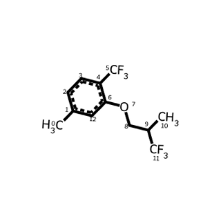 Cc1ccc(C(F)(F)F)c(OCC(C)C(F)(F)F)c1